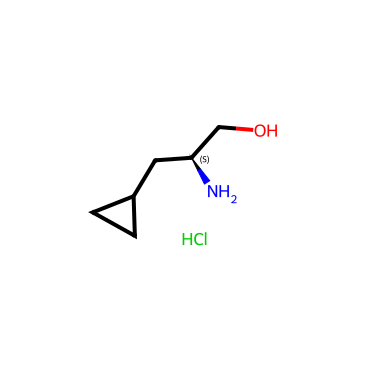 Cl.N[C@H](CO)CC1CC1